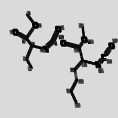 CCC(N=C=O)C(=O)OC.CCCCC(N=C=O)C(=O)OC